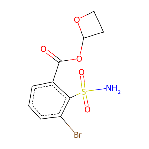 NS(=O)(=O)c1c(Br)cccc1C(=O)OC1CCO1